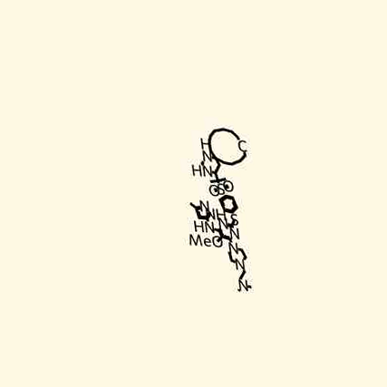 COc1c(Nc2cc(C)n[nH]2)nc(Sc2ccc(S(=O)(=O)C(C)(C)C3CC4(CCCCCCCCCCCC4)NCN3)cc2)nc1N1CCN(CCN(C)C)CC1